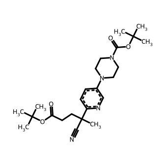 CC(C)(C)OC(=O)CCC(C)(C#N)c1ccc(N2CCN(C(=O)OC(C)(C)C)CC2)cn1